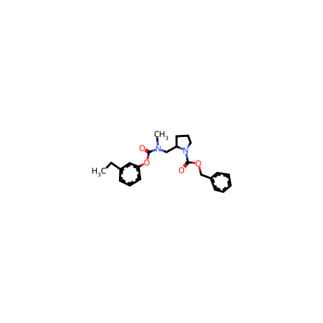 CCc1cccc(OC(=O)N(C)CC2CCCN2C(=O)OCc2ccccc2)c1